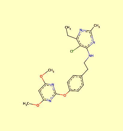 CCc1nc(C)nc(NCCc2ccc(Oc3nc(OC)cc(OC)n3)cc2)c1Cl